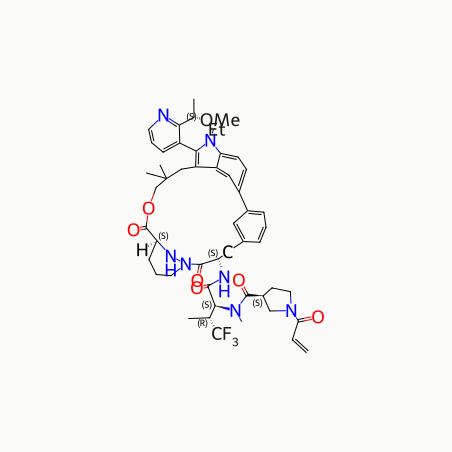 C=CC(=O)N1CC[C@H](C(=O)N(C)[C@H](C(=O)N[C@H]2Cc3cccc(c3)-c3ccc4c(c3)c(c(-c3cccnc3[C@H](C)OC)n4CC)CC(C)(C)COC(=O)[C@@H]3CCCN(N3)C2=O)[C@@H](C)C(F)(F)F)C1